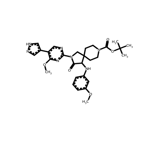 COc1cccc(NC2C(=O)N(c3ncc(-c4cn[nH]c4)c(OC)n3)CC23CCN(C(=O)OC(C)(C)C)CC3)c1